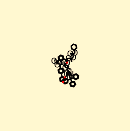 CC(OC(=O)OC1CCCCC1)OC(=O)c1cccc([N+](=O)[O-])c1N(Cc1ccc(-c2ccccc2-c2nnnn2C(c2ccccc2)(c2ccccc2)c2ccccc2)cc1)C(=O)OC(C)(C)C